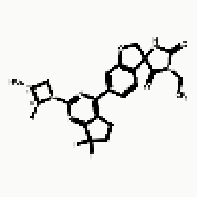 C[C@H]1[C@H](O)CN1c1nc(-c2ccc3c(c2)OCC32NC(=O)N(CC(F)(F)F)C2=O)c2c(n1)C(F)(F)CC2